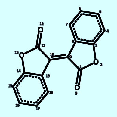 O=C1Oc2ccccc2C1=C1C(=O)Oc2ccccc21